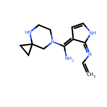 C=C/N=C1/NC=C/C1=C(/N)N1CCNC2(CC2)C1